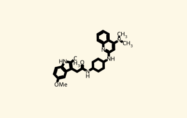 COc1ccc2[nH]c(C)c(CC(=O)NC3CCC(Nc4cc(N(C)C)c5ccccc5n4)CC3)c2c1